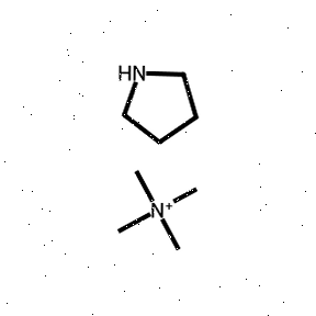 C1CCNC1.C[N+](C)(C)C